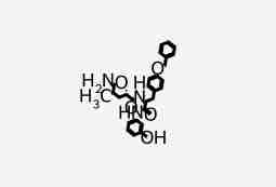 CC(C[CH]C(=O)NC(Cc1ccc(OCc2ccccc2)cc1)C(=O)Nc1cccc(O)c1)C(N)=O